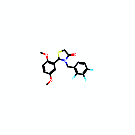 COc1ccc(OC)c(C2SCC(=O)N2Cc2ccc(F)c(F)c2F)c1